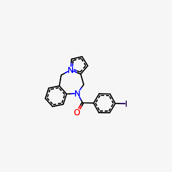 O=C(c1ccc(I)cc1)N1Cc2cccn2Cc2ccccc21